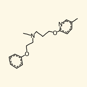 Cc1ccc(OCCCN(C)CCOc2ccccc2)nc1